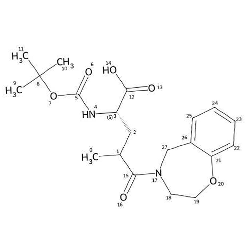 CC(C[C@H](NC(=O)OC(C)(C)C)C(=O)O)C(=O)N1CCOc2ccccc2C1